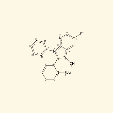 CC(C)(C)N1C=CC=CC1c1c(C#N)c2cc(F)cnc2n1-c1ccccc1